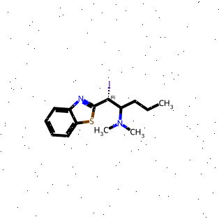 CCCC([C@@H](I)c1nc2ccccc2s1)N(C)C